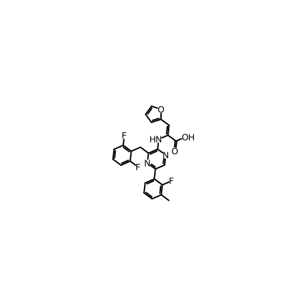 Cc1cccc(-c2cnc(N/C(=C\c3ccco3)C(=O)O)c(Cc3c(F)cccc3F)n2)c1F